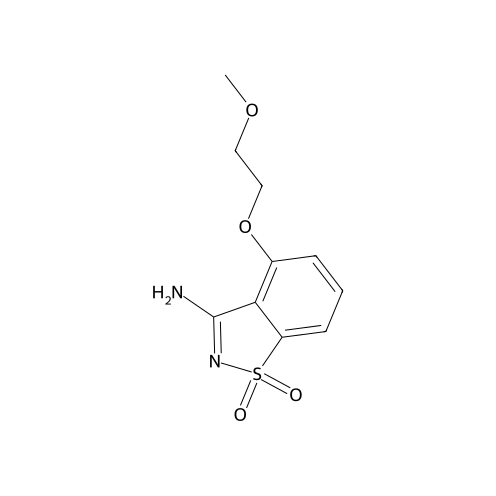 COCCOc1cccc2c1C(N)=NS2(=O)=O